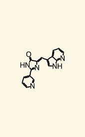 O=C1NC(c2cccnc2)=NC1=Cc1c[nH]c2ncccc12